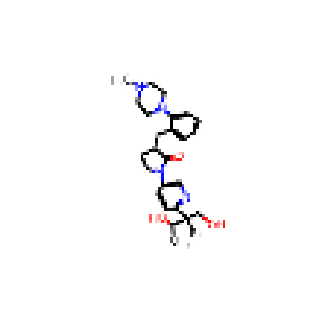 CCC(CO)(c1ccc(N2CC[C@@H](Cc3ccccc3N3CCN(C)CC3)C2=O)cn1)C(C)O